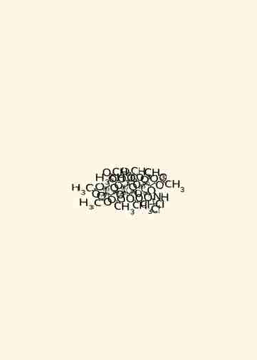 CC(=O)OCC1O[C@H](O[C@@H]2C(OC(C)=O)[C@@H](OC3[C@@H](OC(=N)C(Cl)(Cl)Cl)OC(COC(C)=O)[C@@H](OC(C)=O)[C@@H]3OC(C)=O)OC(COC(C)=O)[C@H]2OC(C)=O)C(OC(C)=O)[C@@H](OC(C)=O)[C@@H]1OC(C)=O